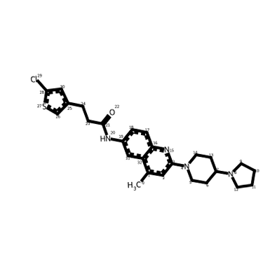 Cc1cc(N2CCC(N3CCCC3)CC2)nc2ccc(NC(=O)CCc3csc(Cl)c3)cc12